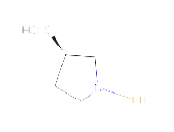 O=C(O)[C@@H]1CCN(P)C1